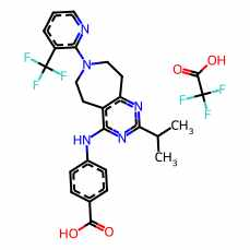 CC(C)c1nc2c(c(Nc3ccc(C(=O)O)cc3)n1)CCN(c1ncccc1C(F)(F)F)CC2.O=C(O)C(F)(F)F